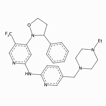 CCN1CCN(Cc2ccc(Nc3cc(N4OCCC4c4ccccc4)c(C(F)(F)F)cn3)nc2)CC1